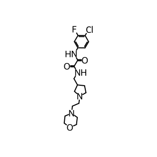 O=C(NCC1CCN(CCN2CCOCC2)C1)C(=O)Nc1ccc(Cl)c(F)c1